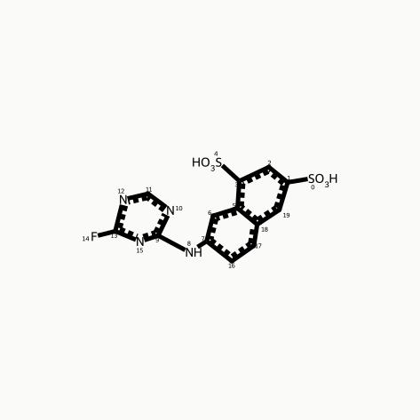 O=S(=O)(O)c1cc(S(=O)(=O)O)c2cc(Nc3n[c]nc(F)n3)ccc2c1